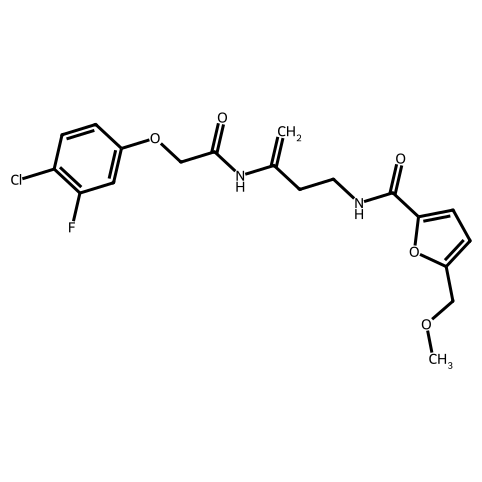 C=C(CCNC(=O)c1ccc(COC)o1)NC(=O)COc1ccc(Cl)c(F)c1